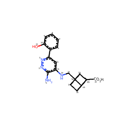 Nc1nnc(-c2ccccc2O)cc1NCC12CCC1C(C(=O)O)C2